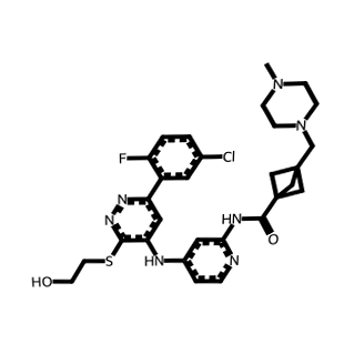 CN1CCN(CC23CC(C(=O)Nc4cc(Nc5cc(-c6cc(Cl)ccc6F)nnc5SCCO)ccn4)(C2)C3)CC1